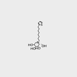 OC[C@@H]1[C@@H](O)[C@H](O)[C@@H](O)CN1CCCCCCCCc1cccs1